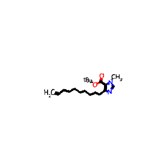 C=CCCCCCCCCc1ncn(C)c1C(=O)OC(C)(C)C